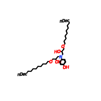 CCCCCCCCCCCCCCCCCCCOCC(O)CN(CC(O)COCCCCCCCCCCCCCCCCCCC)c1ccc(O)cc1